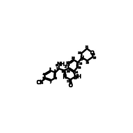 NC(c1ccc(Cl)cc1)c1nc(=O)[nH]c2cc(N3CCOCC3)cnc12